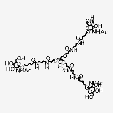 CC(=O)NC1C(OCCCCC(=O)NCCCNC(=O)CCOCC(C)(COCCC(=O)NCCCNC(=O)CCCCOC2OC(CO)C(O)C(O)C2NC(C)=O)COCCC(=O)NCCCNC(=O)CCCCOC2OC(CO)C(O)C(O)C2NC(C)=O)OC(CO)C(O)C1O